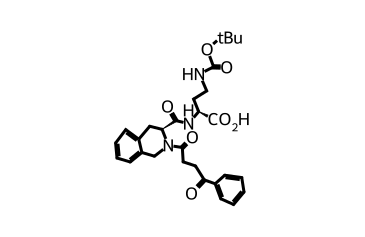 CC(C)(C)OC(=O)NCC[C@H](NC(=O)[C@@H]1Cc2ccccc2CN1C(=O)CCC(=O)c1ccccc1)C(=O)O